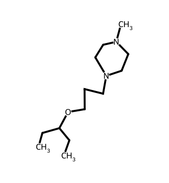 CCC(CC)OCCCN1CCN(C)CC1